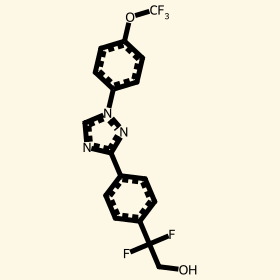 OCC(F)(F)c1ccc(-c2ncn(-c3ccc(OC(F)(F)F)cc3)n2)cc1